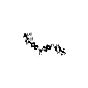 O=C(N1CC2(CC(Oc3cnc(C(F)(F)F)cn3)C2)C1)N1CC2(CC(c3nnc(C4(O)CC4)[nH]3)C2)C1